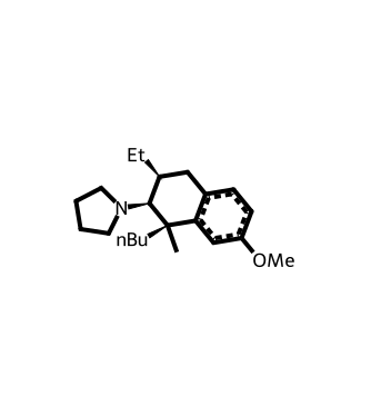 CCCC[C@]1(C)c2cc(OC)ccc2C[C@H](CC)[C@@H]1N1CCCC1